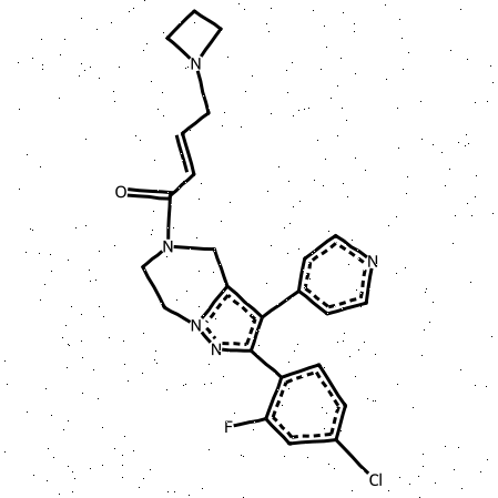 O=C(/C=C/CN1CCC1)N1CCn2nc(-c3ccc(Cl)cc3F)c(-c3ccncc3)c2C1